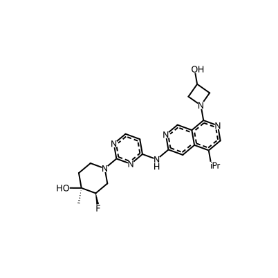 CC(C)c1cnc(N2CC(O)C2)c2cnc(Nc3ccnc(N4CC[C@](C)(O)[C@H](F)C4)n3)cc12